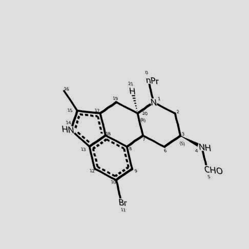 CCCN1C[C@@H](NC=O)CC2c3cc(Br)cc4[nH]c(C)c(c34)C[C@H]21